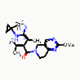 C=N/C(NC1(C)CC1)=C(\C)C(C(=O)N1CCc2nc(OC)ncc2C1)=C(C)C